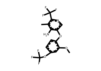 COc1cc(OC(F)(F)F)ccc1Oc1cnc(C(F)(F)F)c(C)c1N